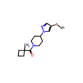 CCCSc1cnn(C2CCN(C(=O)C3(C)CCC3)CC2)c1